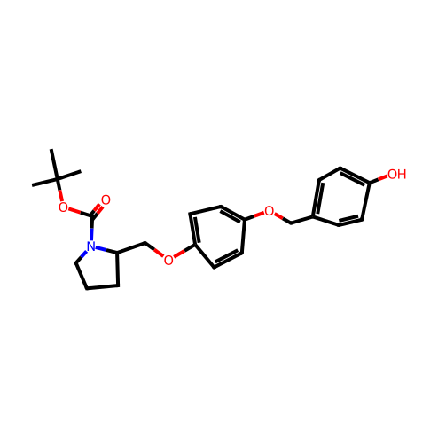 CC(C)(C)OC(=O)N1CCCC1COc1ccc(OCc2ccc(O)cc2)cc1